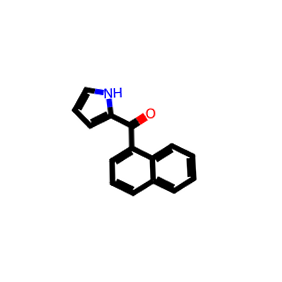 O=C(c1ccc[nH]1)c1cccc2ccccc12